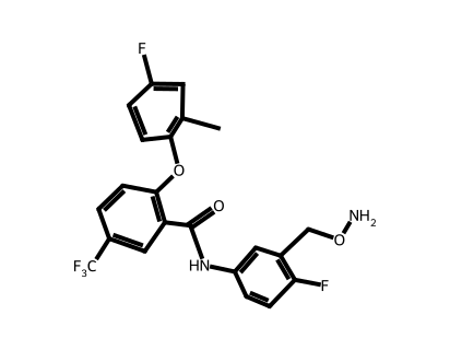 Cc1cc(F)ccc1Oc1ccc(C(F)(F)F)cc1C(=O)Nc1ccc(F)c(CON)c1